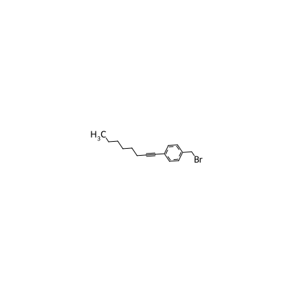 CCCCCCC#Cc1ccc(CBr)cc1